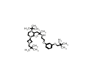 CC(C)(C)COc1cccc(OCCNC(C)(C)CC2CN(C3CN(CC(C)(C)C)C3)CCN2C(C)(C)C)c1